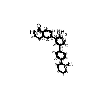 CCN1CCCCC1c1ccc(-c2cnc(N)c(-c3ccc4c(c3)CCNC4=O)c2)cc1